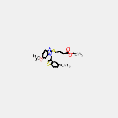 CCOC(=O)CCCSc1nc2ccc(OC)cc2n1Cc1csc2ccc(C)cc12